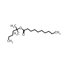 CCCCCCCCCC(=O)OC(C)(C)CCCC